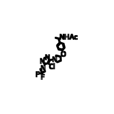 CC(=O)N[C@@H](C)c1ccc(O[C@@H]2CCN(c3ncnc(N4CC(F)(F)C4)c3Cl)C2)cc1